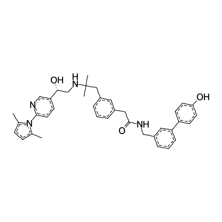 Cc1ccc(C)n1-c1ccc([C@H](O)CNC(C)(C)Cc2cccc(CC(=O)NCc3cccc(-c4ccc(O)cc4)c3)c2)cn1